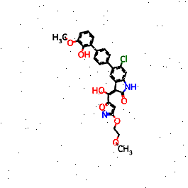 COCCOc1cc(C(O)=C2C(=O)Nc3cc(Cl)c(-c4ccc(-c5cccc(OC)c5O)cc4)cc32)on1